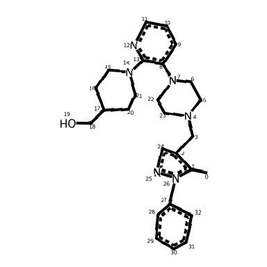 Cc1c(CN2CCN(c3cccnc3N3CCC(CO)CC3)CC2)cnn1-c1ccccc1